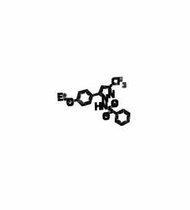 CCOc1ccc(-c2cc(C(F)(F)F)nn2NS(=O)(=O)c2ccccc2)cc1